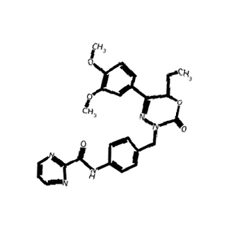 CCC1OC(=O)N(Cc2ccc(NC(=O)c3ncccn3)cc2)N=C1c1ccc(OC)c(OC)c1